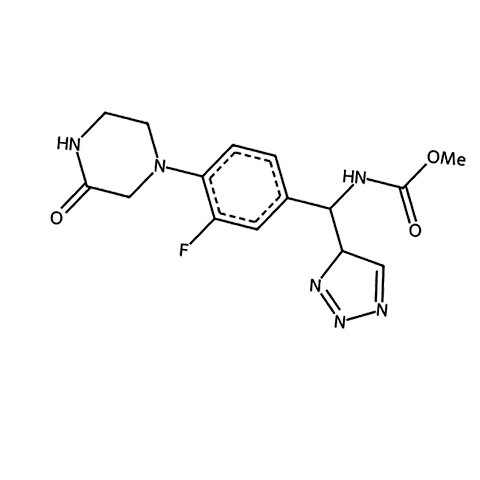 COC(=O)NC(c1ccc(N2CCNC(=O)C2)c(F)c1)C1C=NN=N1